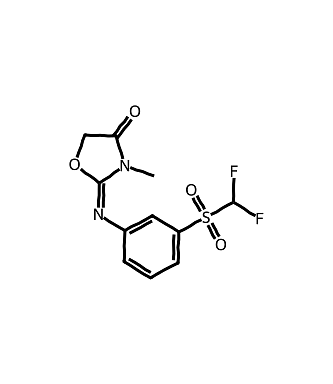 CN1C(=O)COC1=Nc1cccc(S(=O)(=O)C(F)F)c1